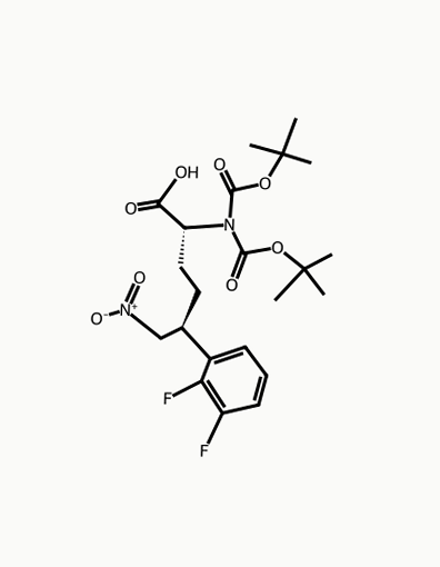 CC(C)(C)OC(=O)N(C(=O)OC(C)(C)C)[C@H](CC[C@H](C[N+](=O)[O-])c1cccc(F)c1F)C(=O)O